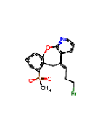 CS(=O)(=O)c1cccc2c1CC(=CCCBr)c1cccnc1O2